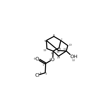 O=C(CCl)OC12CC3CC(CC(O)(C3)C1)C2